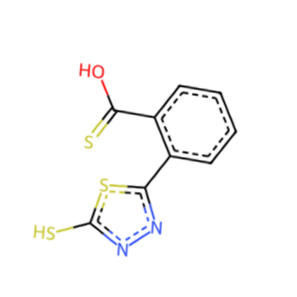 OC(=S)c1ccccc1-c1nnc(S)s1